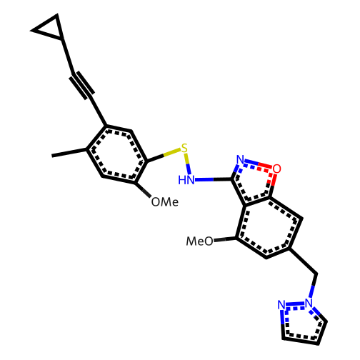 COc1cc(C)c(C#CC2CC2)cc1SNc1noc2cc(Cn3cccn3)cc(OC)c12